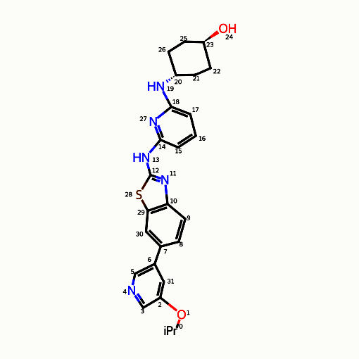 CC(C)Oc1cncc(-c2ccc3nc(Nc4cccc(N[C@H]5CC[C@H](O)CC5)n4)sc3c2)c1